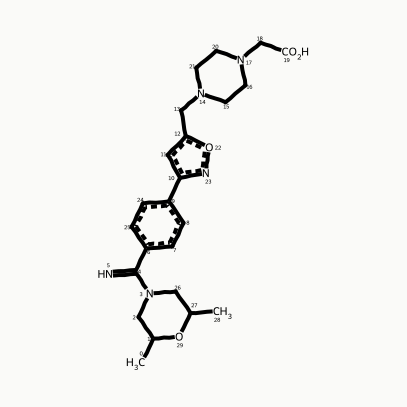 CC1CN(C(=N)c2ccc(-c3cc(CN4CCN(CC(=O)O)CC4)on3)cc2)CC(C)O1